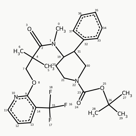 CN(C(=O)C(C)(C)COc1ncccc1C(F)(F)F)C1CCN(C(=O)OC(C)(C)C)CC1c1ccccc1